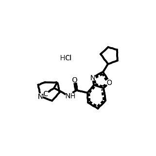 Cl.O=C(NC1CN2CCC1CC2)c1cccc2oc(C3CCCC3)nc12